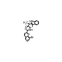 CNC(=O)[C@H](Cc1c[nH]c2ccccc12)NC(=O)c1ccc2cncc(Br)c2n1